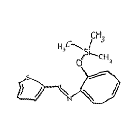 C[Si](C)(C)Oc1ccccc1/N=C/c1cccs1